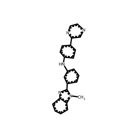 Cn1c(-c2cccc(Nc3ccc(-c4cnccn4)cc3)c2)nc2ccccc21